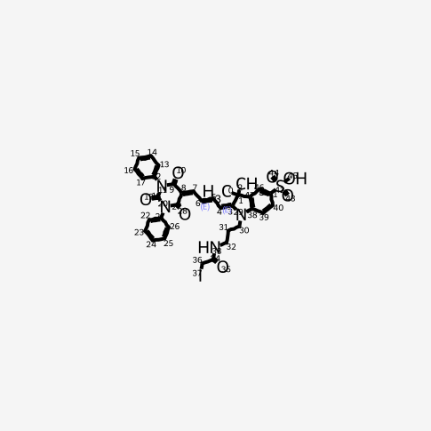 CC1(C)/C(=C\C=C\C=C2C(=O)N(c3ccccc3)C(=O)N(c3ccccc3)C2=O)N(CCCNC(=O)CI)c2ccc(S(=O)(=O)O)cc21